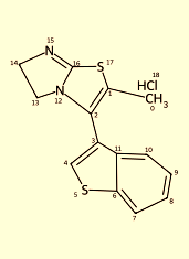 CC1=C(c2csc3ccccc23)N2CCN=C2S1.Cl